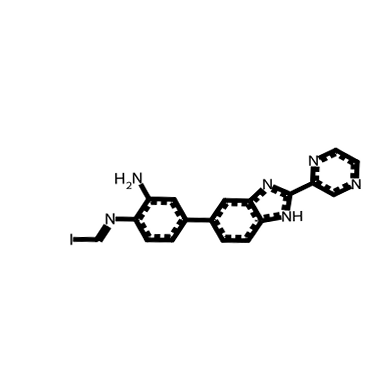 Nc1cc(-c2ccc3[nH]c(-c4cnccn4)nc3c2)ccc1/N=C/I